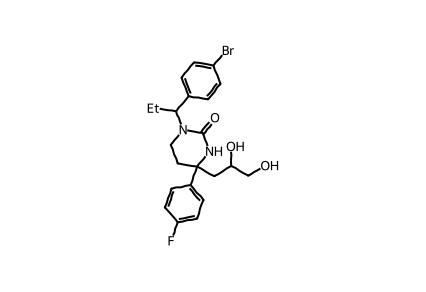 CCC(c1ccc(Br)cc1)N1CCC(CC(O)CO)(c2ccc(F)cc2)NC1=O